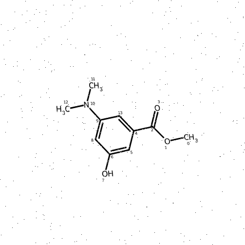 COC(=O)c1cc(O)cc(N(C)C)c1